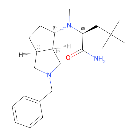 CN([C@@H](CC(C)(C)C)C(N)=O)[C@H]1CC[C@@H]2CN(Cc3ccccc3)C[C@@H]21